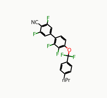 CCCc1ccc(C(F)(F)Oc2ccc(-c3cc(F)c(C#N)c(F)c3)c(F)c2F)cc1